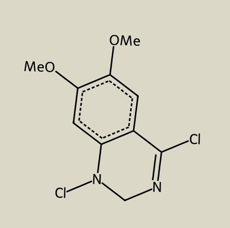 COc1cc2c(cc1OC)N(Cl)CN=C2Cl